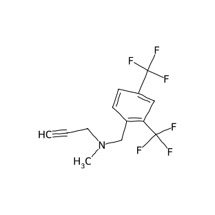 C#CCN(C)Cc1ccc(C(F)(F)F)cc1C(F)(F)F